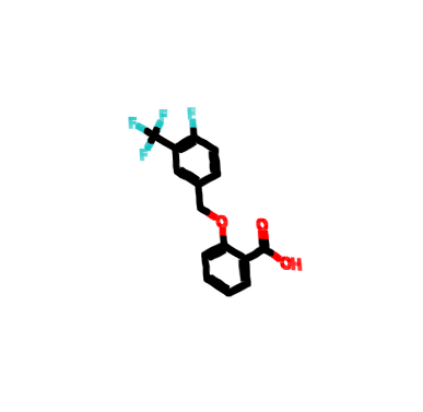 O=C(O)c1ccccc1OCc1ccc(F)c(C(F)(F)F)c1